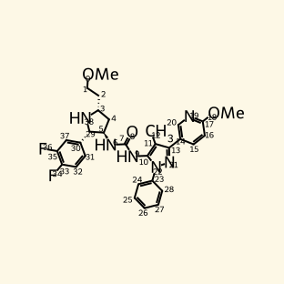 COCC[C@@H]1C[C@@H](NC(=O)Nc2c(C)c(-c3ccc(OC)nc3)nn2-c2ccccc2)[C@H](c2ccc(F)c(F)c2)N1